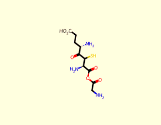 NCC(=O)OC(=O)[C@@H](N)C(S)C(=O)[C@@H](N)CCC(=O)O